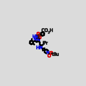 Cc1cccc(C)c1-c1cc(CCC(CC(C)C)NC2CC3(CCN(C(=O)OC(C)(C)C)CC3)C2)nc(NS(=O)(=O)c2cccc(C(=O)O)c2)n1